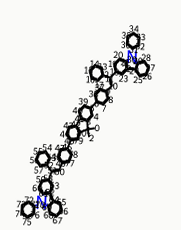 CC1(C)c2cc(-c3ccc(/C=C(\c4ccccc4)c4ccc5c(c4)c4ccccc4n5-c4ccccc4)cc3)ccc2-c2ccc(-c3ccc(/C=C(\c4ccccc4)c4ccc5c(c4)c4ccccc4n5-c4ccccc4)cc3)cc21